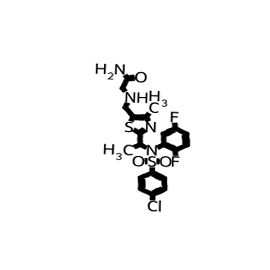 Cc1nc(C(C)N(c2cc(F)ccc2F)S(=O)(=O)c2ccc(Cl)cc2)sc1CNCC(N)=O